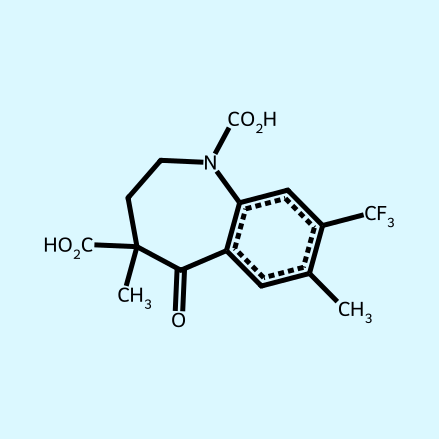 Cc1cc2c(cc1C(F)(F)F)N(C(=O)O)CCC(C)(C(=O)O)C2=O